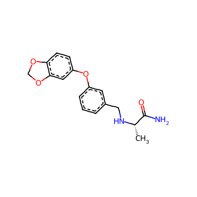 C[C@H](NCc1cccc(Oc2ccc3c(c2)OCO3)c1)C(N)=O